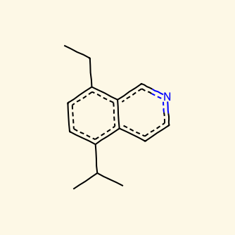 CCc1ccc(C(C)C)c2ccncc12